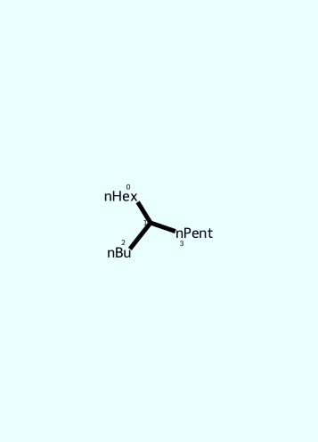 CCCCCC[C](CCCC)CCCCC